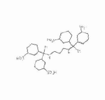 CCC(PCCCPC(CC)(C1CCCC(S(=O)(=O)O)C1)C1CCCC(S(=O)(=O)O)C1)(C1CCCC(S(=O)(=O)O)C1)C1CCCC(S(=O)(=O)O)C1